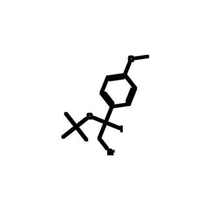 COc1ccc(C(I)(CBr)OC(C)(C)C)cc1